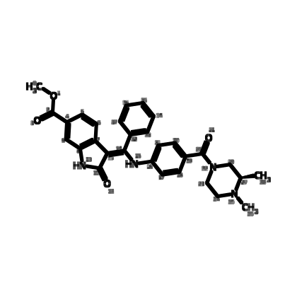 COC(=O)c1ccc2c(c1)NC(=O)/C2=C(\Nc1ccc(C(=O)N2CCN(C)[C@H](C)C2)cc1)c1ccccc1